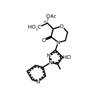 CC(=O)O[C@@H](C(=O)O)C1OCCN(c2cc(C)n(-c3cccnc3)n2)C1=O.Cl